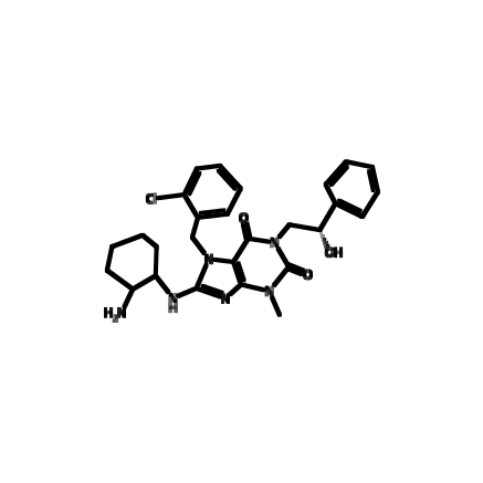 Cn1c(=O)n(C[C@@H](O)c2ccccc2)c(=O)c2c1nc(NC1CCCCC1N)n2Cc1ccccc1Cl